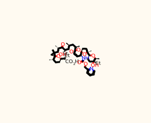 CC[C@@H](C(=O)[C@@H](C)[C@@H](O)C1(C)C[C@]12O[C@@H]([C@@H](CC)C(=O)O)CC[C@@H]2C)[C@H]1O[C@]2(C=C[C@@H](NC(=O)OCc3ccccn3)[C@]3(CC[C@@](C)([C@H]4CC[C@](O)(CC)[C@H](C)O4)O3)O2)[C@H](C)C[C@@H]1C